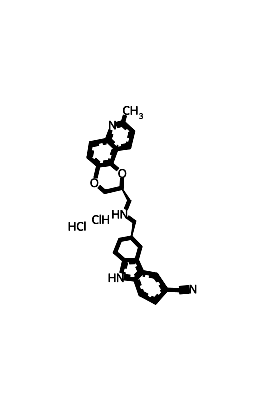 Cc1ccc2c3c(ccc2n1)OC[C@H](CNC[C@@H]1CCc2[nH]c4ccc(C#N)cc4c2C1)O3.Cl.Cl